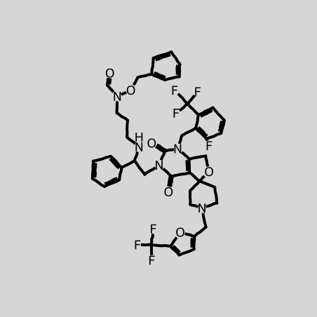 O=CN(CCCNC(Cn1c(=O)c2c(n(Cc3c(F)cccc3C(F)(F)F)c1=O)COC21CCN(Cc2ccc(C(F)(F)F)o2)CC1)c1ccccc1)OCc1ccccc1